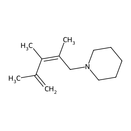 C=C(C)/C(C)=C(/C)CN1CCCCC1